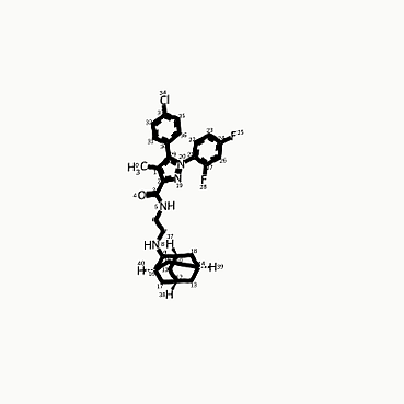 Cc1c(C(=O)NCCNC2[C@H]3C[C@@H]4C[C@@H](C[C@H]2C4)C3)nn(-c2ccc(F)cc2F)c1-c1ccc(Cl)cc1